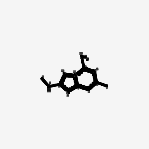 CBc1nc2cc(C)nc(N)n2n1